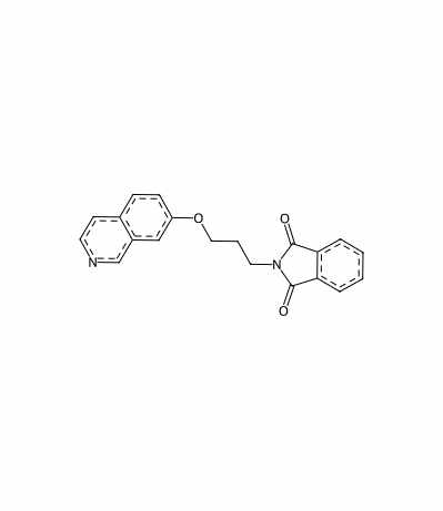 O=C1c2ccccc2C(=O)N1CCCOc1ccc2ccncc2c1